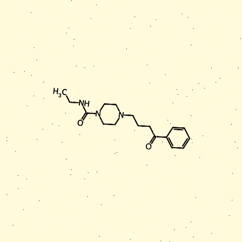 CCNC(=O)N1CCN(CCCC(=O)c2ccccc2)CC1